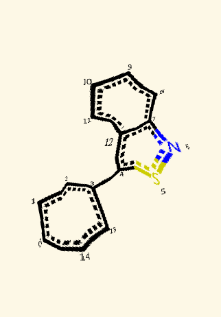 [c]1ccc(-c2snc3ccccc23)cc1